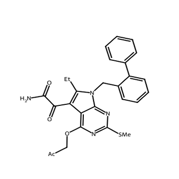 CCc1c(C(=O)C(N)=O)c2c(OCC(C)=O)nc(SC)nc2n1Cc1ccccc1-c1ccccc1